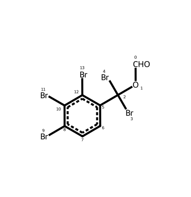 O=COC(Br)(Br)c1ccc(Br)c(Br)c1Br